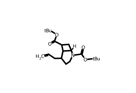 C=CCC1CCN(C(=O)OC(C)(C)C)[C@H]2CC(C(=O)OC(C)(C)C)C12